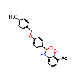 CC(=O)c1cccc(NC(=O)c2ccc(OCc3ccc(C)cc3)cc2)c1O